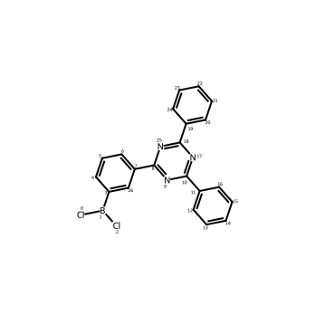 ClB(Cl)c1cccc(-c2nc(-c3ccccc3)nc(-c3ccccc3)n2)c1